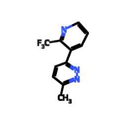 Cc1ccc(-c2cccnc2C(F)(F)F)nn1